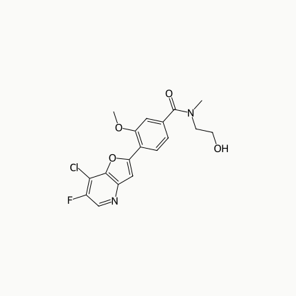 COc1cc(C(=O)N(C)CCO)ccc1-c1cc2ncc(F)c(Cl)c2o1